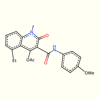 CCc1cccc2c1c(OC(C)=O)c(C(=O)Nc1ccc(OC)cc1)c(=O)n2C